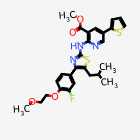 COCCOc1ccc(-c2nc(Nc3ncc(-c4cccs4)cc3C(=O)OC)sc2CC(C)C)cc1F